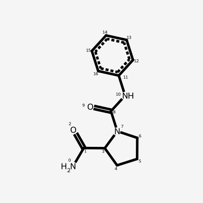 NC(=O)C1CCCN1C(=O)Nc1ccccc1